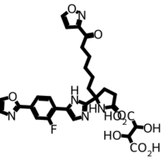 O=C(O)C(O)C(O)C(=O)O.O=C1CCC(CCCCCC(=O)c2ccon2)(c2ncc(-c3ccc(-c4ncco4)cc3F)[nH]2)N1